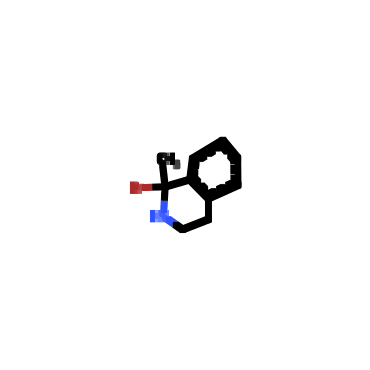 CC1(Br)NCCc2ccccc21